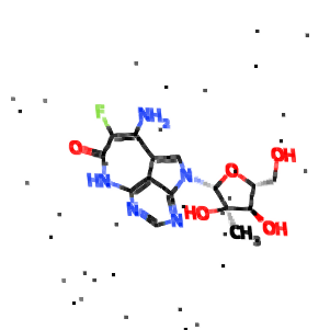 C[C@@]1(O)[C@H](O)[C@@H](CO)O[C@H]1n1cc2c3c(ncnc31)NC(=O)C(F)=C2N